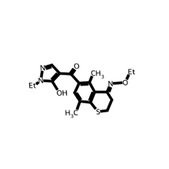 CCON=C1CCSc2c(C)cc(C(=O)c3cnn(CC)c3O)c(C)c21